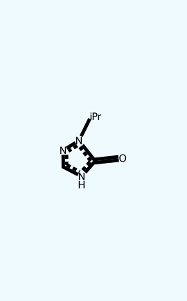 CC(C)n1nc[nH]c1=O